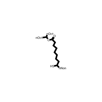 CCCCCCCCCC(S)CCCCCCCC(=O)OC(CCCCCCCC)CCCCCCCC